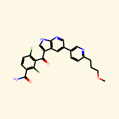 COCCCc1ccc(-c2cnc3[nH]cc(C(=O)c4c(F)ccc(C(N)=O)c4F)c3c2)cn1